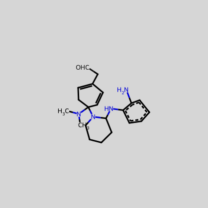 CN(C)C1(N2CCCCC2Nc2ccccc2N)C=CC(CC=O)=CC1